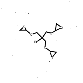 CCC(COC1CO1)(COC1CO1)COC1CO1